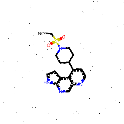 N#CCS(=O)(=O)N1CCC(c2ccnc3cnc4[nH]ccc4c23)CC1